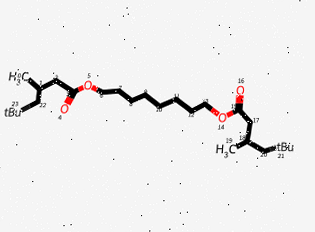 CC(CC(=O)OCCCCCCCCOC(=O)CC(C)CC(C)(C)C)CC(C)(C)C